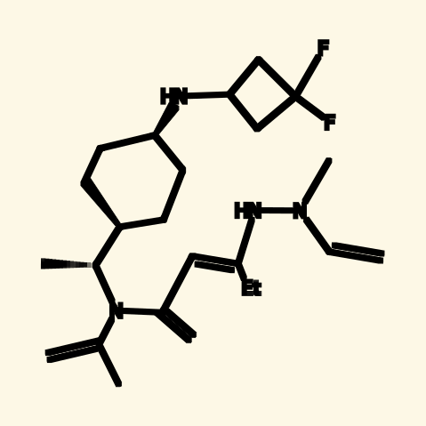 C=CN(C)N/C(=C/C(=C)N(C(=C)C)[C@H](C)[C@H]1CC[C@@H](NC2CC(F)(F)C2)CC1)CC